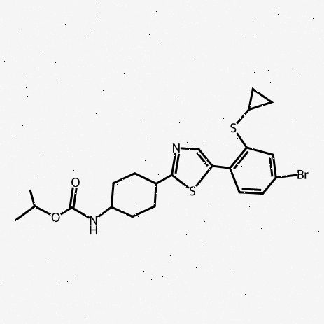 CC(C)OC(=O)NC1CCC(c2ncc(-c3ccc(Br)cc3SC3CC3)s2)CC1